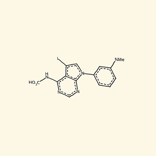 CNc1cccc(-n2cc(I)c3c(NC(=O)O)ncnc32)c1